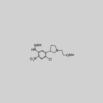 CNNc1cc(C2CCN(CCOC)C2)c(Cl)cc1[N+](=O)[O-]